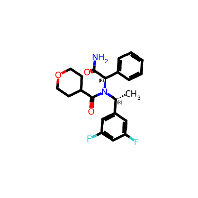 C[C@H](c1cc(F)cc(F)c1)N(C(=O)C1CCOCC1)[C@@H](C(N)=O)c1ccccc1